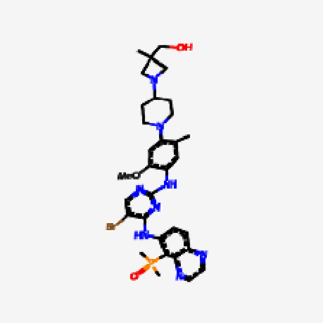 COc1cc(N2CCC(N3CC(C)(CO)C3)CC2)c(C)cc1Nc1ncc(Br)c(Nc2ccc3nccnc3c2P(C)(C)=O)n1